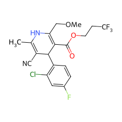 COCC1=C(C(=O)OCCC(F)(F)F)C(c2ccc(F)cc2Cl)C(C#N)=C(C)N1